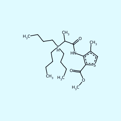 CCCC[PH](CCCC)(CCCC)C(C)C(=O)Nc1c(C)csc1C(=O)OC